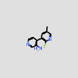 Cc1cnc(F)c(-c2ccncc2N)c1